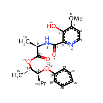 COc1ccnc(C(=O)N[C@H](C)C(=O)O[C@@H](C)[C@@H](Oc2ccccc2)C(C)C)c1O